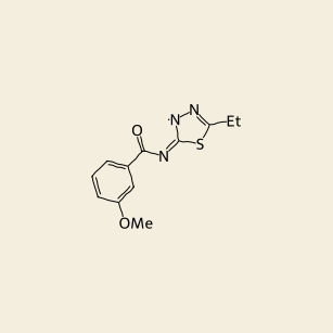 CCC1=N[N]C(=NC(=O)c2cccc(OC)c2)S1